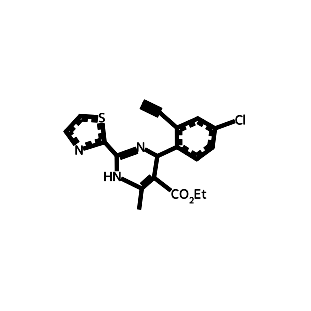 C#Cc1cc(Cl)ccc1C1N=C(c2nccs2)NC(C)=C1C(=O)OCC